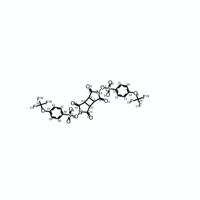 O=C1C2C(C(=O)N1OS(=O)(=O)c1ccc(OC(F)(F)F)cc1)C1C(=O)N(OS(=O)(=O)c3ccc(OC(F)(F)F)cc3)C(=O)C21